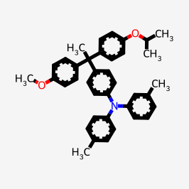 COc1ccc(C(C)(c2ccc(OC(C)C)cc2)c2ccc(N(c3ccc(C)cc3)c3cccc(C)c3)cc2)cc1